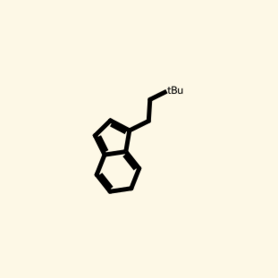 CC(C)(C)CCC1=CC=C2C=CCC=C21